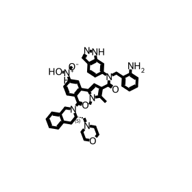 Cc1c(C(=O)N(Cc2ccccc2N)c2ccc3cn[nH]c3c2)cc(-c2cc([NH+]([O-])O)ccc2C(=O)N2Cc3ccccc3C[C@H]2CN2CCOCC2)n1C